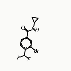 O=C(NC1CC1)c1ccc(C(F)F)c(Br)c1